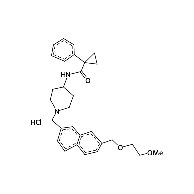 COCCOCc1ccc2ccc(CN3CCC(NC(=O)C4(c5ccccc5)CC4)CC3)cc2c1.Cl